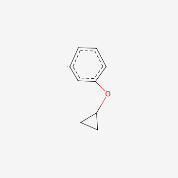 [c]1cccc(OC2CC2)c1